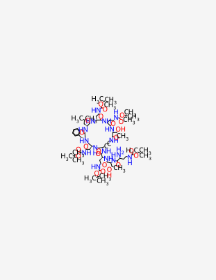 CC(C)C[C@@H]1NC(=O)[C@@H](Cc2ccccc2)NC(=O)[C@H](CCNC(=O)OC(C)(C)C)NC(=O)[C@@H](NC(=O)[C@H](CCNC(=O)OC(C)(C)C)NC(=O)[C@@H](NC(=O)[C@@H](N)CCNC(=O)OC(C)(C)C)C(C)O)CCNC(=O)[C@H]([C@H](C)O)NC(=O)[C@H](CCNC(=O)OC(C)(C)C)NC(=O)[C@H](CCNC(=O)OC(C)(C)C)NC1=O